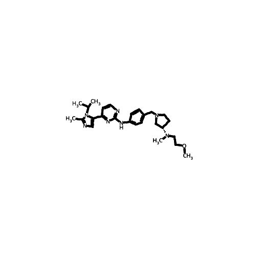 COCCN(C)[C@H]1CCN(Cc2ccc(Nc3nccc(-c4cnc(C)n4C(C)C)n3)cc2)C1